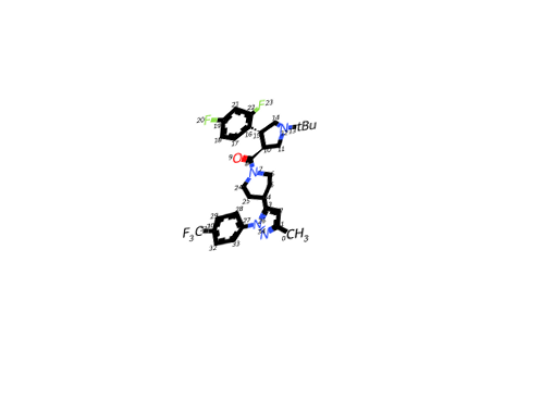 Cc1cc(C2CCN(C(=O)[C@@H]3CN(C(C)(C)C)C[C@H]3c3ccc(F)cc3F)CC2)n(-c2ccc(C(F)(F)F)cc2)n1